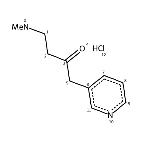 CNCCC(=O)Cc1cccnc1.Cl